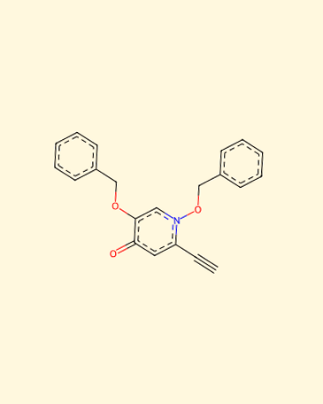 C#Cc1cc(=O)c(OCc2ccccc2)cn1OCc1ccccc1